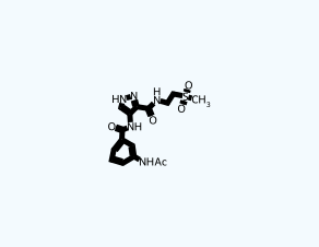 CC(=O)Nc1cccc(C(=O)Nc2c[nH]nc2C(=O)NCCS(C)(=O)=O)c1